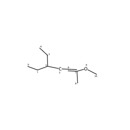 CCC(CC)C/C=C(\C)OC